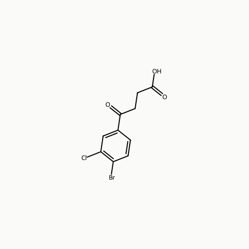 O=C(O)CCC(=O)c1ccc(Br)c(Cl)c1